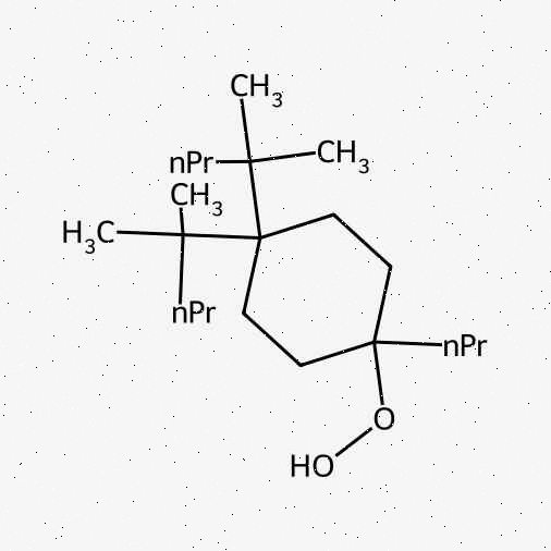 CCCC1(OO)CCC(C(C)(C)CCC)(C(C)(C)CCC)CC1